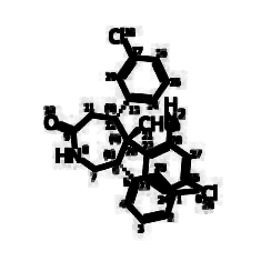 Cc1cccc([C@@H]2CNC(=O)C[C@H](c3cccc(Cl)c3)[C@]2(C=O)c2ccc(Cl)cc2N)c1